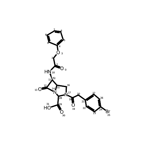 O=C(COc1ccccc1)N[C@@H]1C(=O)N2C1CN(C(=O)Cc1ccc(Br)cc1)C2C(=O)O